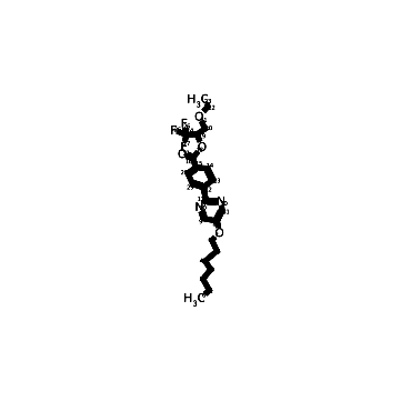 CCCCCCCOc1cnc(-c2ccc(C(=O)OC(COCC)C(F)(F)F)cc2)nc1